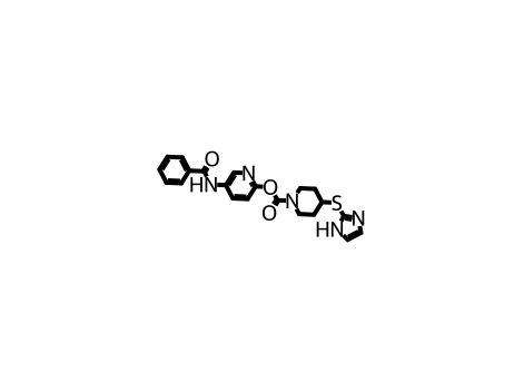 O=C(Nc1ccc(OC(=O)N2CCC(Sc3ncc[nH]3)CC2)nc1)c1ccccc1